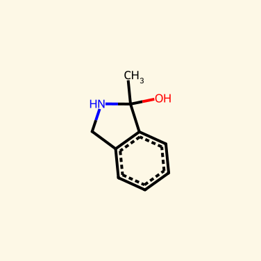 CC1(O)NCc2ccccc21